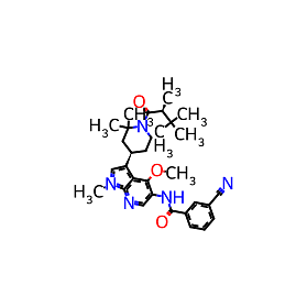 COc1c(NC(=O)c2cccc(C#N)c2)cnc2c1c([C@@H]1CCN(C(=O)[C@@H](C)C(C)(C)C)C(C)(C)C1)cn2C